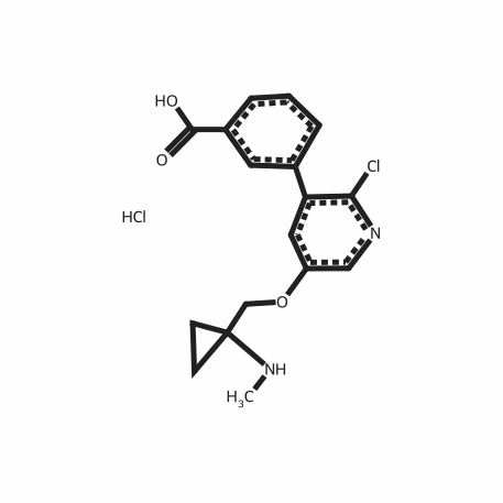 CNC1(COc2cnc(Cl)c(-c3cccc(C(=O)O)c3)c2)CC1.Cl